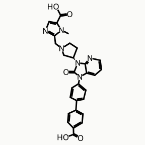 Cn1c(C(=O)O)cnc1CN1CC[C@H](n2c(=O)n(-c3ccc(-c4ccc(C(=O)O)cc4)cc3)c3cccnc32)C1